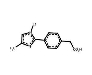 CCn1cc(C(F)(F)F)nc1-c1ccc(CC(=O)O)cc1